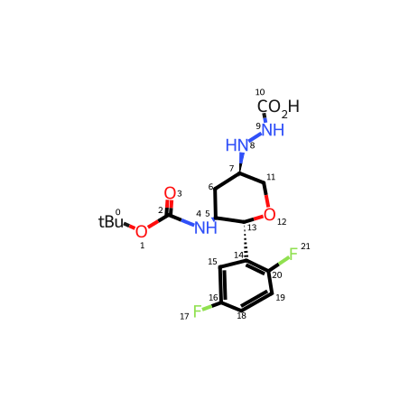 CC(C)(C)OC(=O)N[C@H]1C[C@@H](NNC(=O)O)CO[C@@H]1c1cc(F)ccc1F